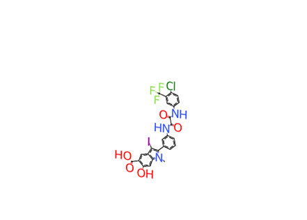 Cn1c(-c2cccc(NC(=O)C(=O)Nc3ccc(Cl)c(C(F)(F)F)c3)c2)c(I)c2cc(C(=O)O)c(O)cc21